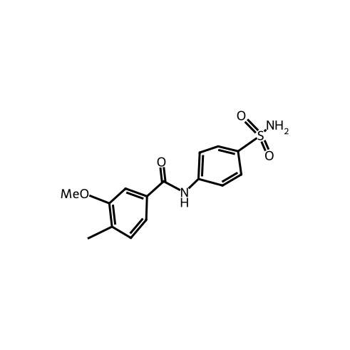 COc1cc(C(=O)Nc2ccc(S(N)(=O)=O)cc2)ccc1C